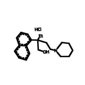 CCC(CO)(CCN1CCCCC1)c1cccc2ccccc12.Cl